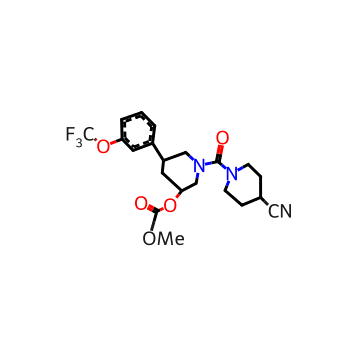 COC(=O)OC1CC(c2cccc(OC(F)(F)F)c2)CN(C(=O)N2CCC(C#N)CC2)C1